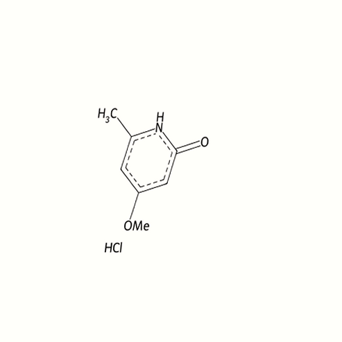 COc1cc(C)[nH]c(=O)c1.Cl